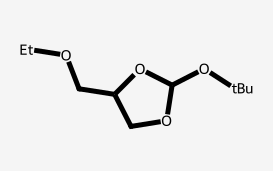 CCOCC1COC(OC(C)(C)C)O1